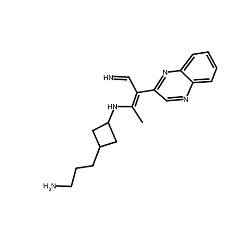 C/C(NC1CC(CCCN)C1)=C(/C=N)c1cnc2ccccc2n1